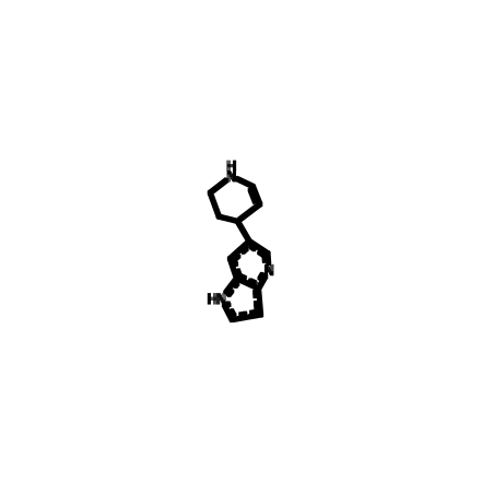 C1=CC(c2cnc3cc[nH]c3c2)CCN1